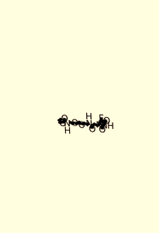 CC(C)(C)OC(=O)NCCOCCOCCNC(=O)CCn1cc(F)c(=O)[nH]c1=O